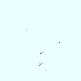 C[C@H]1[C@@H]2CC/C(=C\c3ccccc3F)C(=O)[C@]2(C)CCC12OCCO2